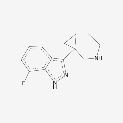 Fc1cccc2c(C34CNCCC3C4)n[nH]c12